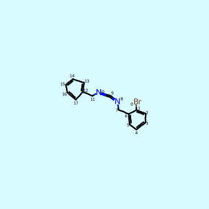 Brc1ccccc1CN=C=NCc1ccccc1